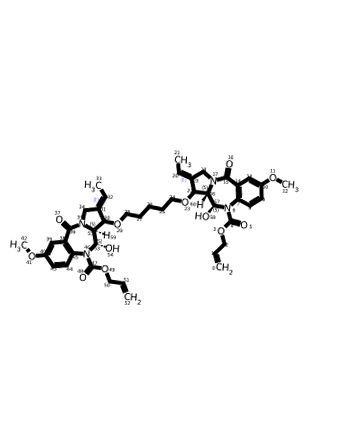 C=CCOC(=O)N1c2ccc(OC)cc2C(=O)N2C/C(=C\C)C(OCCCCCOC3/C(=C/C)CN4C(=O)c5cc(OC)ccc5N(C(=O)OCC=C)[C@@H](O)[C@H]34)[C@H]2[C@@H]1O